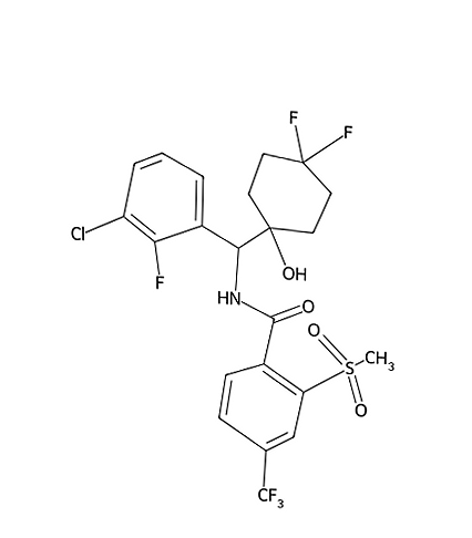 CS(=O)(=O)c1cc(C(F)(F)F)ccc1C(=O)NC(c1cccc(Cl)c1F)C1(O)CCC(F)(F)CC1